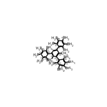 Bc1c(B)c(B)c(-c2cc(-c3c(B)c(B)c(B)c(B)c3B)c(C)c(-c3c(B)c(B)c(B)c(B)c3B)c2C)c(B)c1B